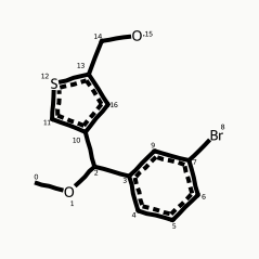 COC(c1cccc(Br)c1)c1csc(C[O])c1